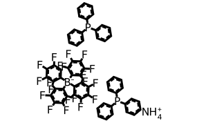 Fc1c(F)c(F)c([B-](c2c(F)c(F)c(F)c(F)c2F)(c2c(F)c(F)c(F)c(F)c2F)c2c(F)c(F)c(F)c(F)c2F)c(F)c1F.[NH4+].c1ccc(P(c2ccccc2)c2ccccc2)cc1.c1ccc(P(c2ccccc2)c2ccccc2)cc1